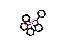 c1ccc(C2OP(c3ccccc3)(c3ccccc3)(c3ccccc3)c3ccccc32)cc1